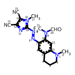 CN1CCCc2cc(N=Nc3nc(C#N)c(C#N)n3C)c(N(C=O)C(F)(F)F)cc21